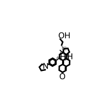 C[C@]12C[C@H](c3ccc(N4CCCC4)cc3)C3=C4CCC(=O)C=C4CC[C@H]3[C@@H]1CC[C@H]2CCCO